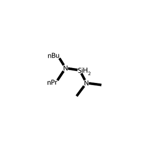 CCCCN(CCC)[SiH2]N(C)C